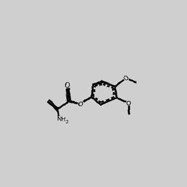 C=C(N)C(=O)Oc1ccc(OC)c(OC)c1